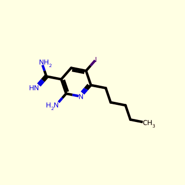 CCCCCc1nc(N)c(C(=N)N)cc1I